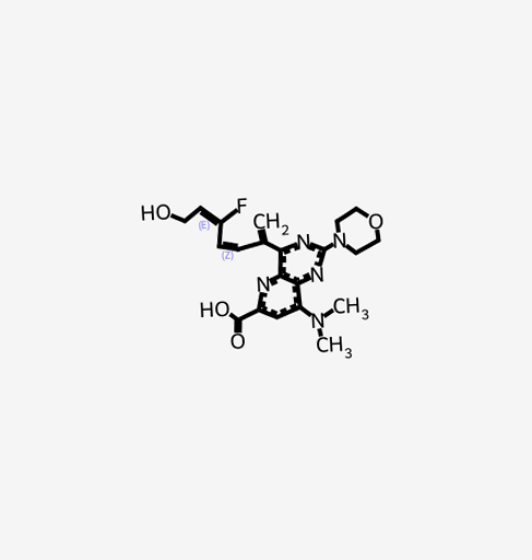 C=C(/C=C\C(F)=C/CO)c1nc(N2CCOCC2)nc2c(N(C)C)cc(C(=O)O)nc12